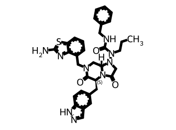 CCCN(C(=O)NCc1ccccc1)N1CC(=O)N2[C@@H](Cc3ccc4[nH]ncc4c3)C(=O)N(Cc3cccc4sc(N)nc34)C[C@@H]21